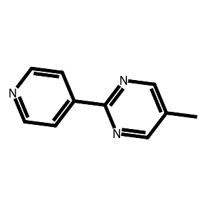 Cc1cnc(-c2ccncc2)nc1